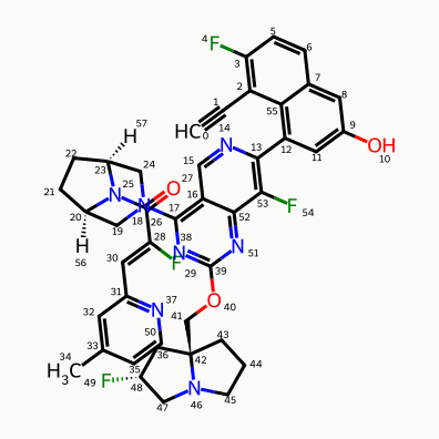 C#Cc1c(F)ccc2cc(O)cc(-c3ncc4c(N5C[C@H]6CC[C@@H](C5)N6C(=O)/C(F)=C/c5cc(C)ccn5)nc(OC[C@@]56CCCN5C[C@H](F)C6)nc4c3F)c12